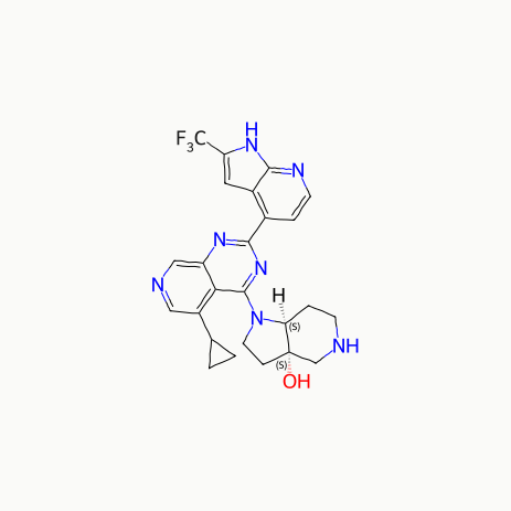 O[C@]12CCN(c3nc(-c4ccnc5[nH]c(C(F)(F)F)cc45)nc4cncc(C5CC5)c34)[C@H]1CCNC2